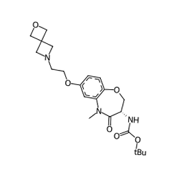 CN1C(=O)[C@@H](NC(=O)OC(C)(C)C)COc2ccc(OCCN3CC4(COC4)C3)cc21